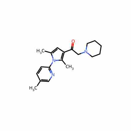 Cc1ccc(-n2c(C)cc(C(=O)CN3CCCCC3)c2C)nc1